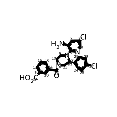 Nc1cc(Cl)cnc1N1CCN(C(=O)c2cccc(C(=O)O)c2)C[C@@H]1c1ccc(Cl)cc1